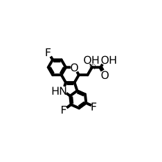 O=C(O)[C@@H](O)CC1Oc2cc(F)ccc2-c2[nH]c3c(F)cc(F)cc3c21